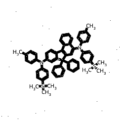 Cc1ccc(N(c2ccc([Si](C)(C)C)cc2)c2ccc3c(c2)C(c2ccccc2)(c2ccccc2)c2cc(N(c4ccc(C)cc4)c4ccc(S(C)(C)C)cc4)c4ccccc4c2-3)cc1